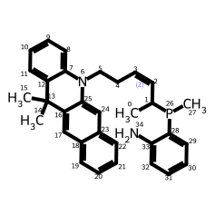 CC(/C=C\CCN1c2ccccc2C(C)(C)c2cc3ccccc3cc21)P(C)c1ccccc1N